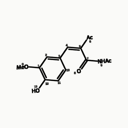 COc1cc(/C=C(/C(C)=O)C(=O)NC(C)=O)ccc1O